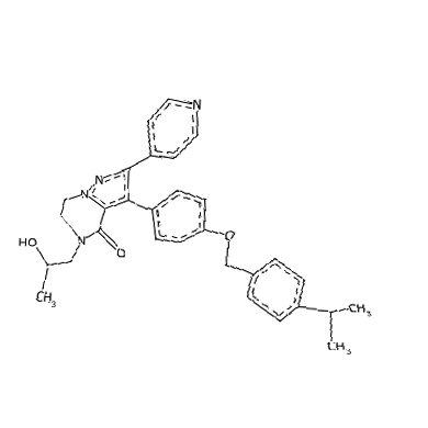 CC(O)CN1CCn2nc(-c3ccncc3)c(-c3ccc(OCc4ccc(C(C)C)cc4)cc3)c2C1=O